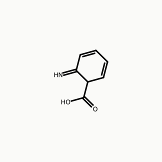 N=C1C=CC=CC1C(=O)O